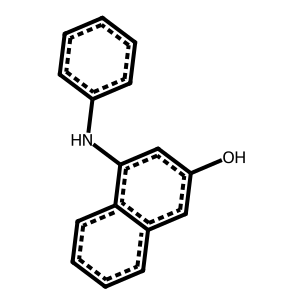 Oc1cc(Nc2ccccc2)c2ccccc2c1